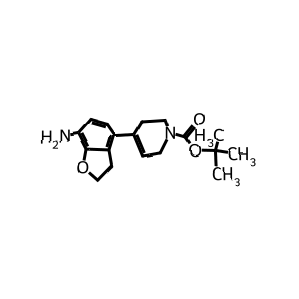 CC(C)(C)OC(=O)N1CC=C(c2ccc(N)c3c2CCO3)CC1